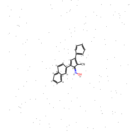 N#CC1=C(c2ccccc2)C=C(c2ccc3ccccc3c2)C1=NO